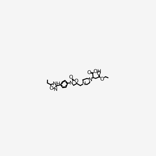 CCOC(=O)CC(C(=O)O)N1CCN(CC2CN(c3ccc(C4=NOC(CC)N4)cc3)C(=O)O2)CC1